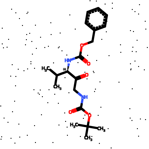 CC(C)[C@H](NC(=O)OCc1ccccc1)C(=O)CNC(=O)OC(C)(C)C